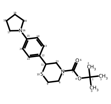 CC(C)(C)OC(=O)N1CCSC(c2ccc(N3CCCC3)cc2)C1